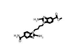 COC(=O)c1ccc2c(c1)nc(N)n2CCCCn1c(N)nc2cc(C(N)=O)ccc21